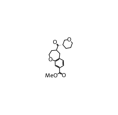 COC(=O)c1ccc2c(c1)OCCC(C(=O)[C@H]1CCCOC1)C2